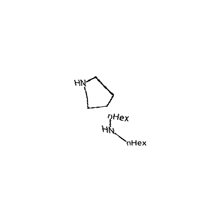 C1CCNC1.CCCCCCNCCCCCC